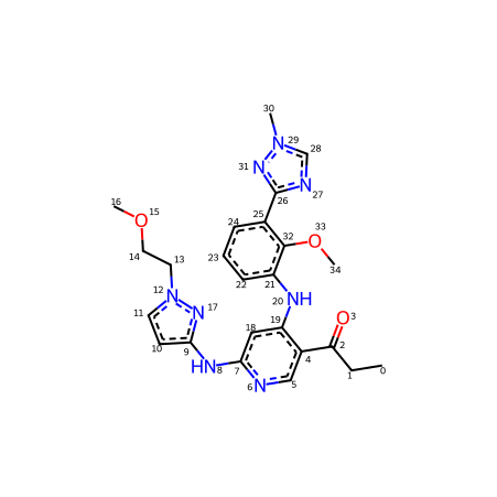 CCC(=O)c1cnc(Nc2ccn(CCOC)n2)cc1Nc1cccc(-c2ncn(C)n2)c1OC